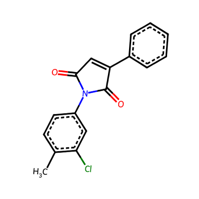 Cc1ccc(N2C(=O)C=C(c3ccccc3)C2=O)cc1Cl